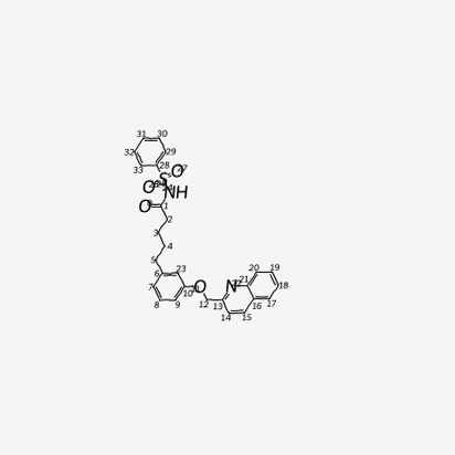 O=C(CCCCc1cccc(OCc2ccc3ccccc3n2)c1)NS(=O)(=O)c1ccccc1